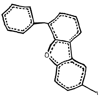 Ic1ccc2oc3c(-c4ccccc4)cccc3c2c1